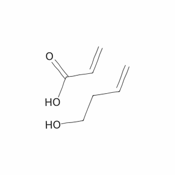 C=CC(=O)O.C=CCCO